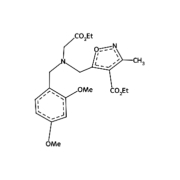 CCOC(=O)CN(Cc1ccc(OC)cc1OC)Cc1onc(C)c1C(=O)OCC